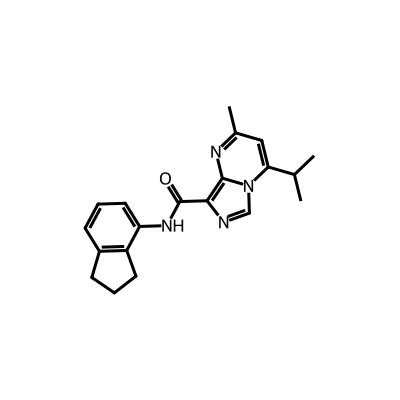 Cc1cc(C(C)C)n2cnc(C(=O)Nc3cccc4c3CCC4)c2n1